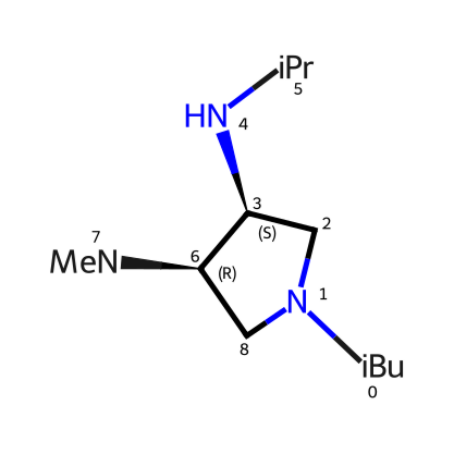 CCC(C)N1C[C@H](NC(C)C)[C@H](NC)C1